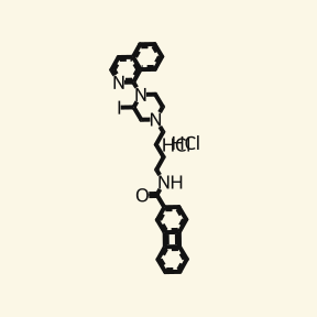 Cl.Cl.O=C(NCCCCN1CCN(c2nccc3ccccc23)C(I)C1)c1ccc2c(c1)=c1ccccc1=2